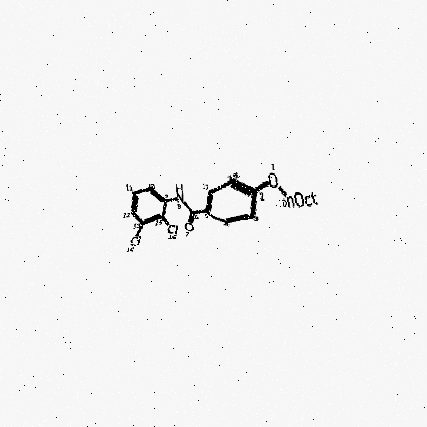 CCCCCCCCOc1ccc(C(=O)Nc2cccc(Cl)c2Cl)cc1